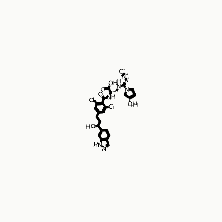 [C-]#[N+]/N=C(\NC[C@H](NC(=O)c1c(Cl)cc(CCC(O)c2ccc3cn[nH]c3c2)cc1Cl)C(=O)O)N1CC[C@H](O)C1